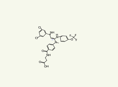 CN(/C(=C/C(=N)c1cc(Cl)cc(Cl)c1)Nc1ccc(OC(F)(F)F)cc1)c1ccc(C(=O)NCCC(=O)O)cc1